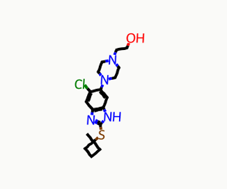 CC1(Sc2nc3cc(Cl)c(N4CCN(CCO)CC4)cc3[nH]2)CCC1